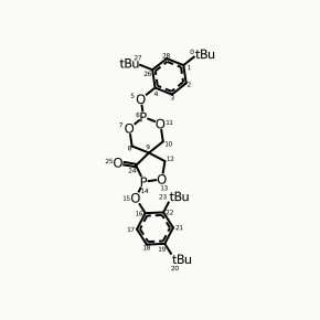 CC(C)(C)c1ccc(OP2OCC3(CO2)COP(Oc2ccc(C(C)(C)C)cc2C(C)(C)C)C3=O)c(C(C)(C)C)c1